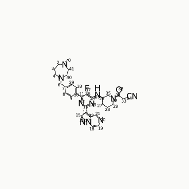 CN1CCCN(Cc2ccc(-c3nc(-c4cnn5ccncc45)nc(N[C@@H]4CCCN(C(=O)CC#N)C4)c3F)cc2)CC1